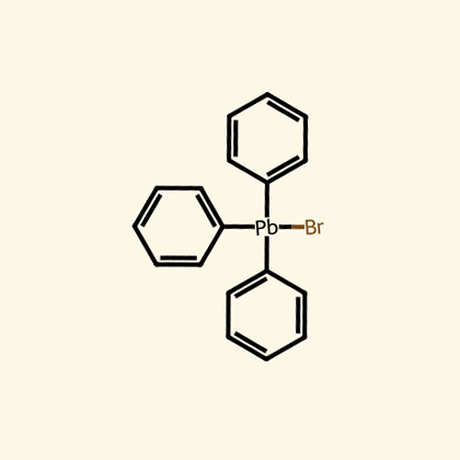 [Br][Pb]([c]1ccccc1)([c]1ccccc1)[c]1ccccc1